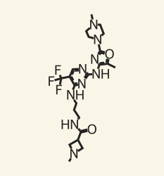 Cc1oc(N2CCN(C)CC2)nc1Nc1ncc(C(F)(F)F)c(NCCCNC(=O)C2CN(C)C2)n1